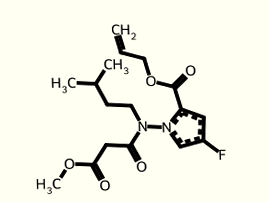 C=CCOC(=O)c1cc(F)cn1N(CCC(C)C)C(=O)CC(=O)OC